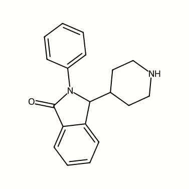 O=C1c2ccccc2C(C2CCNCC2)N1c1ccccc1